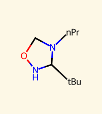 CCCN1CONC1C(C)(C)C